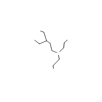 CCCN(CCC)CCC(CC)CC